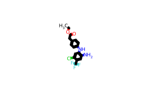 CCOC(=O)Cc1ccc(Nc2cc(Cl)c(C(F)(F)F)cc2N)cc1